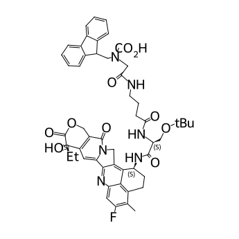 CC[C@@]1(O)C(=O)OCc2c1cc1n(c2=O)Cc2c-1nc1cc(F)c(C)c3c1c2[C@@H](NC(=O)[C@H](COC(C)(C)C)NC(=O)CCCNC(=O)CN(CC1c2ccccc2-c2ccccc21)C(=O)O)CC3